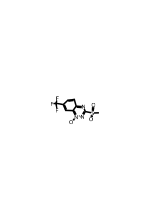 CS(=O)(=O)c1nc2ccc(C(F)(F)F)cc2[n+]([O-])n1